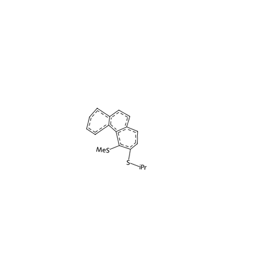 CSc1c(SC(C)C)ccc2ccc3ccccc3c12